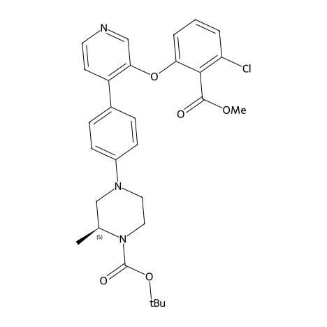 COC(=O)c1c(Cl)cccc1Oc1cnccc1-c1ccc(N2CCN(C(=O)OC(C)(C)C)[C@@H](C)C2)cc1